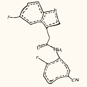 N#Cc1ccc(F)c(NC(=O)c2cnc3ccc(F)cn23)c1